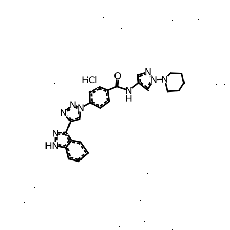 Cl.O=C(Nc1cnn(N2CCCCC2)c1)c1ccc(-n2cc(-c3n[nH]c4ccccc34)nn2)cc1